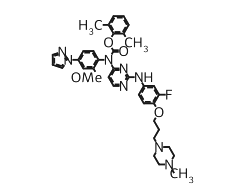 COc1cc(-n2cccn2)ccc1N(C(=O)Oc1c(C)cccc1C)c1ccnc(Nc2ccc(OCCCN3CCN(C)CC3)c(F)c2)n1